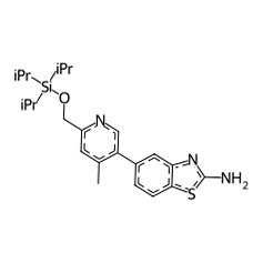 Cc1cc(CO[Si](C(C)C)(C(C)C)C(C)C)ncc1-c1ccc2sc(N)nc2c1